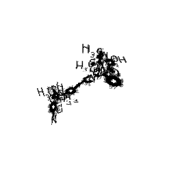 Cc1cc([C@H](C(=O)N2C[C@H](O)C[C@H]2C(=O)N[C@@H](CC(=O)N2CCC(C#Cc3ccc(C(=O)NC4C(C)(C)C(Oc5ccc(C#N)c(Cl)c5)C4(C)C)cc3)CC2)c2ccccc2)C(C)C)on1